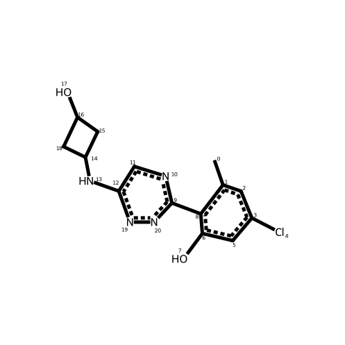 Cc1cc(Cl)cc(O)c1-c1ncc(NC2CC(O)C2)nn1